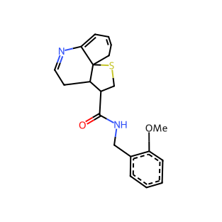 COc1ccccc1CNC(=O)C1CSC23CC=CC=C2N=CCC13